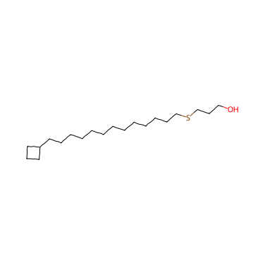 OCCCSCCCCCCCCCCCCCC1CCC1